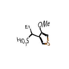 [CH2]CC(c1cscc1OC)S(=O)(=O)O